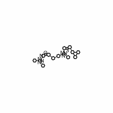 c1ccc(-c2nc(-c3ccccc3)nc(-c3cc4c(cn3)oc3ccc(-c5cccc(-c6ccc(-c7nc(-c8ccccc8)nc(-c8cccc9c8sc8c(-c%10ccc%11c%12ccccc%12c%12ccccc%12c%11c%10)cccc89)n7)cc6)c5)cc34)n2)cc1